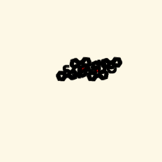 c1ccc([Si](c2ccccc2)(c2cccc3c2sc2c(-c4nccc5c4oc4ccccc45)cccc23)c2cccc3c2sc2c(-c4nccc5c4sc4ccccc45)cccc23)cc1